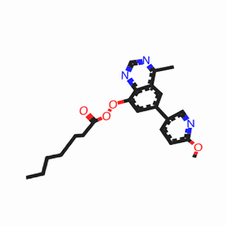 CCCCCCC(=O)OOc1cc(-c2ccc(OC)nc2)cc2c(C)ncnc12